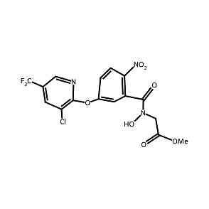 COC(=O)CN(O)C(=O)c1cc(Oc2ncc(C(F)(F)F)cc2Cl)ccc1[N+](=O)[O-]